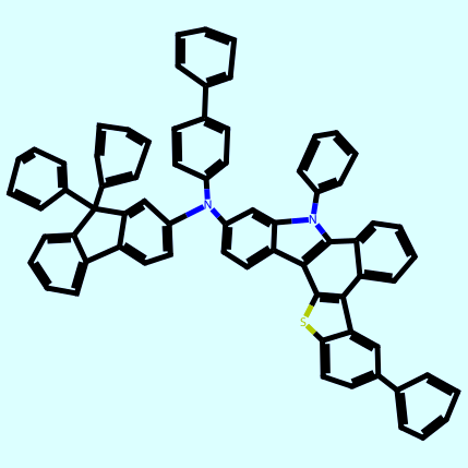 c1ccc(-c2ccc(N(c3ccc4c(c3)C(c3ccccc3)(c3ccccc3)c3ccccc3-4)c3ccc4c5c6sc7ccc(-c8ccccc8)cc7c6c6ccccc6c5n(-c5ccccc5)c4c3)cc2)cc1